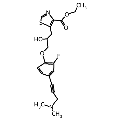 CCOC(=O)c1ncsc1CC(O)COc1ccc(C#CCN(C)C)cc1F